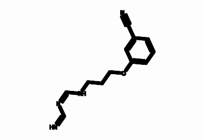 N#Cc1cccc(OCCCN/C=N\C=N)c1